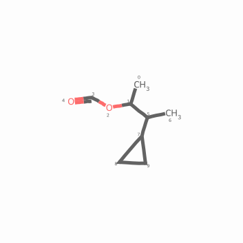 CC(O[C]=O)C(C)C1CC1